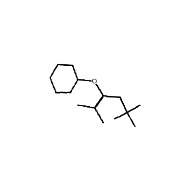 CC(C)C(CC(C)(C)C)OC1CCCCC1